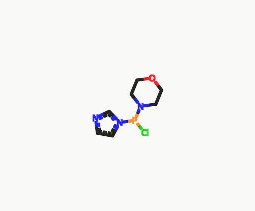 ClP(N1CCOCC1)n1ccnc1